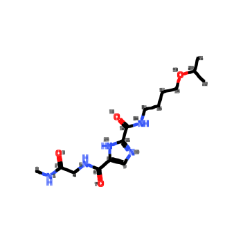 CNC(=O)CNC(=O)c1cnc(C(=O)NCCCCOC(C)C)[nH]1